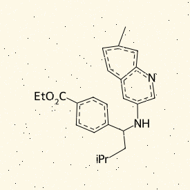 CCOC(=O)c1ccc(C(CC(C)C)Nc2cnc3cc(C)ccc3c2)cc1